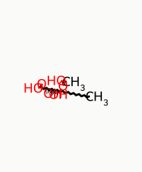 CC(=O)O.CCCCCCCCCCCCC[C@@H](O)C[C@H](O)CCC(=O)O